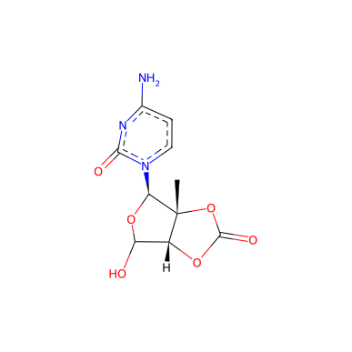 C[C@@]12OC(=O)O[C@@H]1C(O)O[C@H]2n1ccc(N)nc1=O